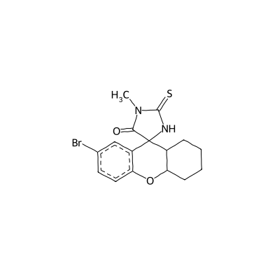 CN1C(=O)C2(NC1=S)c1cc(Br)ccc1OC1CCCCC12